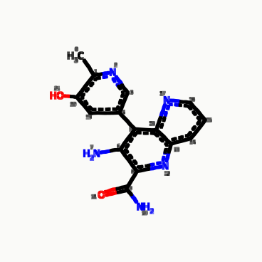 Cc1ncc(-c2c(N)c(C(N)=O)nc3cccnc23)cc1O